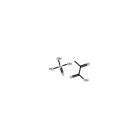 CC(=O)C(=O)O.O=[As](O)(O)O